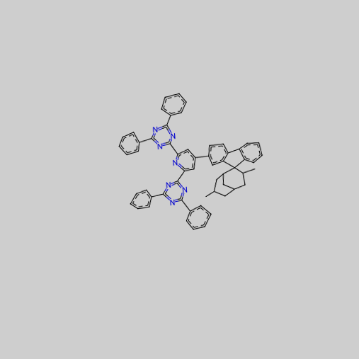 CC1CC2CC(C)C3(c4ccccc4-c4ccc(-c5cc(-c6nc(-c7ccccc7)nc(-c7ccccc7)n6)nc(-c6nc(-c7ccccc7)nc(-c7ccccc7)n6)c5)cc43)C(C1)C2